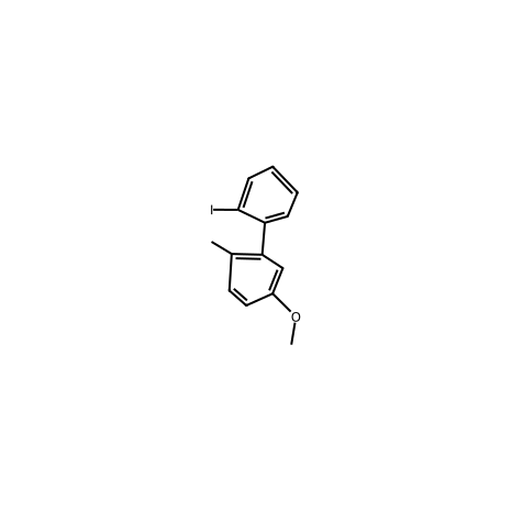 COc1ccc(C)c(-c2ccccc2I)c1